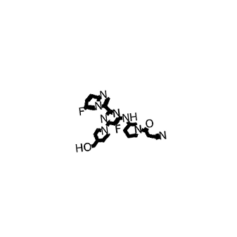 N#CCC(=O)N1CCCC(Nc2nc(-c3cnc4ccc(F)cn34)nc(N3CCC(CO)CC3)c2F)C1